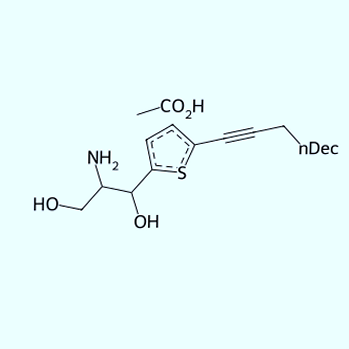 CC(=O)O.CCCCCCCCCCCC#Cc1ccc(C(O)C(N)CO)s1